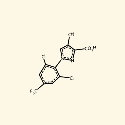 N#Cc1cn(-c2c(Cl)cc(C(F)(F)F)cc2Cl)nc1C(=O)O